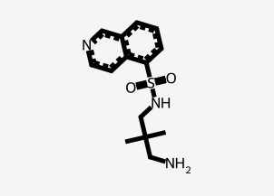 CC(C)(CN)CNS(=O)(=O)c1cccc2cnccc12